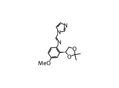 COc1ccc(N=Cn2ccnc2)c([C@H]2COC(C)(C)O2)c1